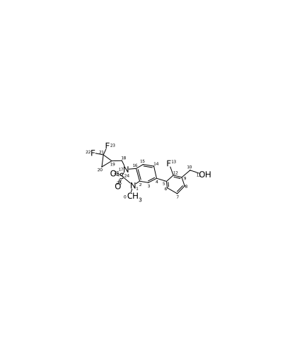 CN1c2cc(-c3cccc(CO)c3F)ccc2N(CC2CC2(F)F)S1(=O)=O